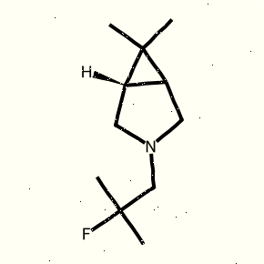 CC(C)(F)CN1CC2[C@H](C1)C2(C)C